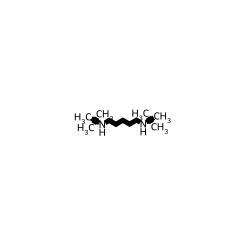 CC(C)(C)NCCCCCNC(C)(C)C